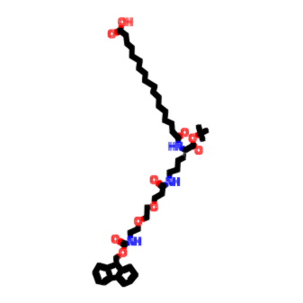 CC(C)(C)OC(=O)[C@H](CCCCNC(=O)CCOCCOCCNC(=O)OCC1c2ccccc2-c2ccccc21)NC(=O)CCCCCCCCCCCCCCCCC(=O)O